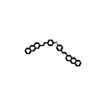 C(=C\c1ccc2cc3ccccc3cc2c1)/c1ccc(Sc2ccc(/C=C/c3ccc4cc5ccccc5cc4c3)cc2)cc1